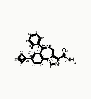 NC(=O)c1ncn2c1CN=C(c1ccccc1I)c1cc(C34CC(C3)C4)ccc1-2